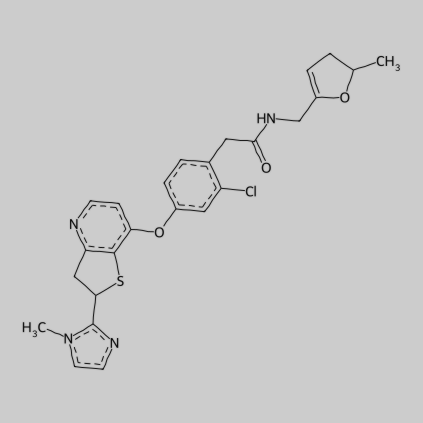 CC1CC=C(CNC(=O)Cc2ccc(Oc3ccnc4c3SC(c3nccn3C)C4)cc2Cl)O1